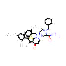 COc1ccc(-c2sc3c(c2C)C(=O)C=C[N+]3(Cc2ccccc2OC)N2CCN(Cc3ccccc3)C(C(N)=O)C2)cc1